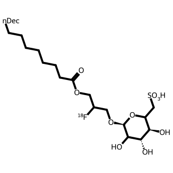 CCCCCCCCCCCCCCCCCC(=O)OCC([18F])CO[C@H]1OC(CS(=O)(=O)O)[C@@H](O)[C@H](O)C1O